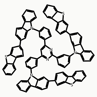 c1cc(-c2cc(-c3cccc(-n4c5ccccc5c5ccc(-c6ccc7c(c6)sc6ccccc67)cc54)c3)nc(-c3cccc(-n4c5ccccc5c5ccc(-c6ccc7c(c6)sc6ccccc67)cc54)c3)n2)cc(-n2c3ccccc3c3ccc(-c4ccc5c(c4)sc4ccccc45)cc32)c1